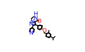 Cc1cc(C(C)C)ccc1COc1ccc(-c2c(-c3ccncc3)nn3c2C(=O)NCC3)cc1